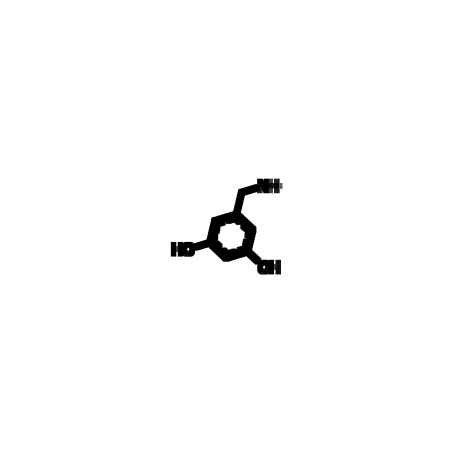 [NH]Cc1cc(O)cc(O)c1